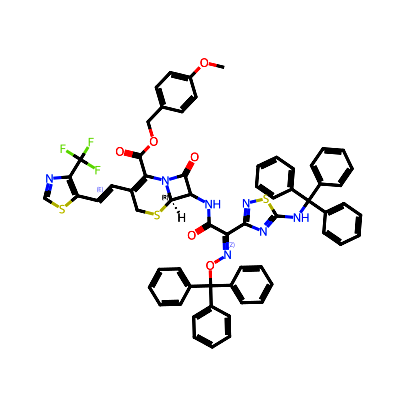 COc1ccc(COC(=O)C2=C(/C=C/c3scnc3C(F)(F)F)CS[C@@H]3C(NC(=O)/C(=N\OC(c4ccccc4)(c4ccccc4)c4ccccc4)c4nsc(NC(c5ccccc5)(c5ccccc5)c5ccccc5)n4)C(=O)N23)cc1